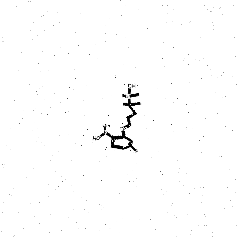 CC(C)(CCCOc1cc(F)ccc1B(O)O)[Si](C)(C)O